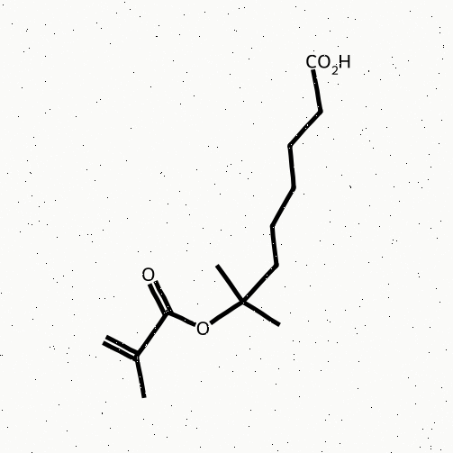 C=C(C)C(=O)OC(C)(C)CCCCCC(=O)O